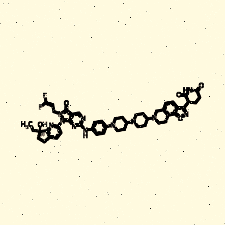 CC[C@@]1(O)CCc2ccc(-n3c4nc(Nc5ccc(N6CCC(N7CCC(N8CCc9c(ccc%10c(C%11CCC(=O)NC%11=O)noc9%10)C8)CC7)CC6)cc5)ncc4c(=O)n3CC=C(F)F)nc21